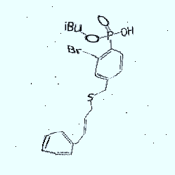 CCC(C)OP(=O)(O)c1ccc(CSCC=Cc2ccccc2)cc1Br